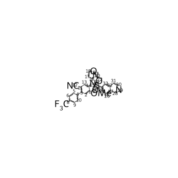 COc1cc(-c2ccc(C(F)(F)F)cc2)c(C#N)cc1N(c1ccon1)S(=O)(=O)c1ccc2cnccc2c1